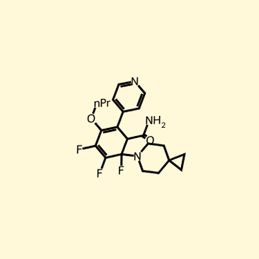 CCCOC1=C(c2ccncc2)C(C(N)=O)C(F)(N2CCC3(CC2)CC3)C(F)=C1F